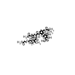 CC(=O)CCOCCC(=O)N[C@H](C(=O)NS[C@@H](CCCNC(N)=O)C(=O)Nc1ccc(COC(=O)C(C)C)cc1O[C@@H]1O[C@H](C(=O)O)[C@@H](O)[C@H](O)[C@H]1O)C(C)C